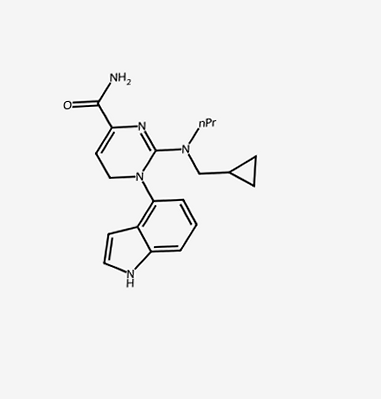 CCCN(CC1CC1)C1=NC(C(N)=O)=CCN1c1cccc2[nH]ccc12